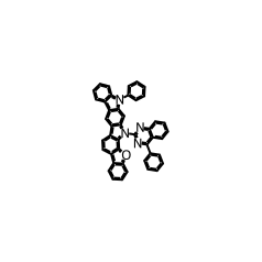 c1ccc(-c2nc(-n3c4cc5c(cc4c4ccc6c7ccccc7oc6c43)c3ccccc3n5-c3ccccc3)nc3ccccc23)cc1